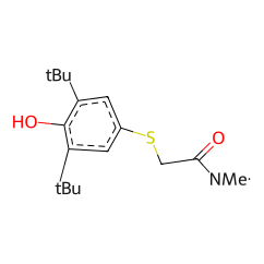 C[N]C(=O)CSc1cc(C(C)(C)C)c(O)c(C(C)(C)C)c1